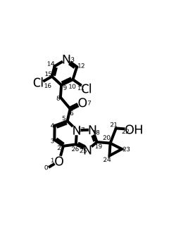 COc1ccc(C(=O)Cc2c(Cl)cncc2Cl)n2nc(C3(CO)CC3)nc12